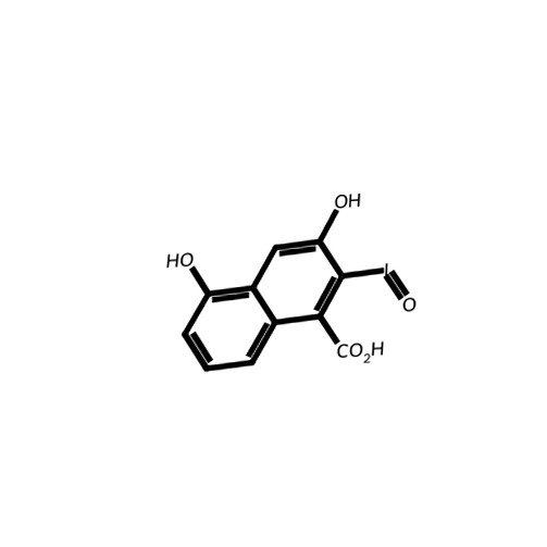 O=Ic1c(O)cc2c(O)cccc2c1C(=O)O